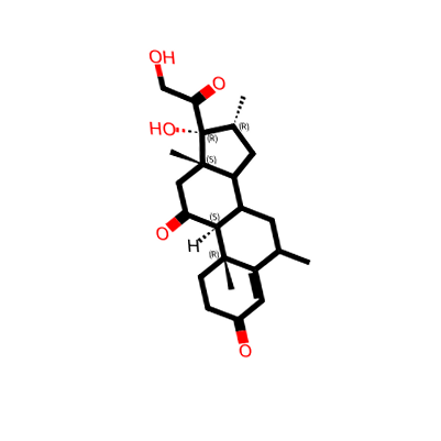 CC1CC2C3C[C@@H](C)[C@](O)(C(=O)CO)[C@@]3(C)CC(=O)[C@@H]2[C@@]2(C)CCC(=O)C=C12